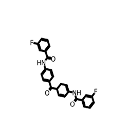 O=C(NC1=CCC(C(=O)c2ccc(NC(=O)c3cccc(F)c3)cc2)C=C1)c1cccc(F)c1